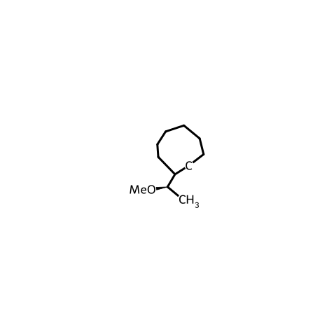 CO[C@H](C)C1CCCCCCC1